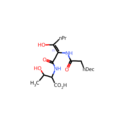 CCCCCCCCCCCC(=O)N/C(C(=O)NC(C(=O)O)C(C)O)=C(/O)CCC